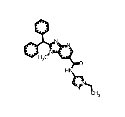 CCn1cc(NC(=O)c2cnc3nc(C(c4ccccc4)c4ccccc4)n(C)c3c2)cn1